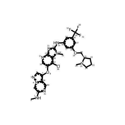 CNc1cn2ncc(Oc3cnc4nc(Nc5cc(OC[C@H]6CCCN6C)cc(C(F)(F)F)c5)n(C)c4c3Cl)c2cn1